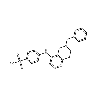 O=S(=O)(c1ccc(Nc2ncnc3c2CN(Cc2ccccc2)CC3)cc1)C(F)(F)F